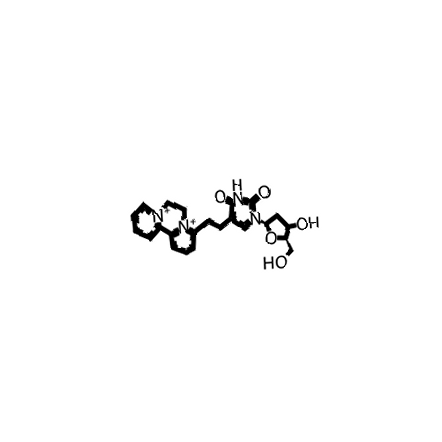 O=c1[nH]c(=O)n([C@H]2CC(O)[C@@H](CO)O2)cc1CCc1cccc2[n+]1CC[n+]1ccccc1-2